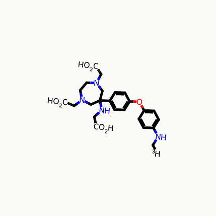 [3H]CNc1ccc(Oc2ccc(C3(NCC(=O)O)CN(CC(=O)O)CCN(CC(=O)O)C3)cc2)cc1